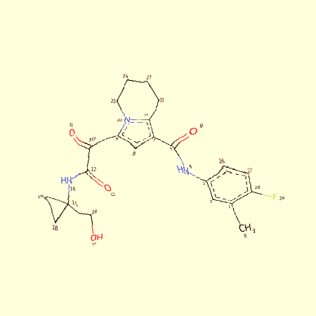 Cc1cc(NC(=O)c2cc(C(=O)C(=O)NC3(CO)CC3)n3c2CCCC3)ccc1F